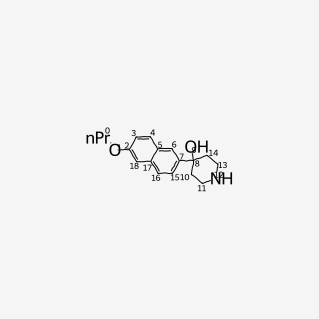 CCCOc1ccc2cc(C3(O)CCNCC3)ccc2c1